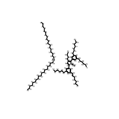 CCCCCCCCCCCCCCCCC[CH2][Ni][CH2]CCCCCCCCCCCCCCCCC.CCCCCCCc1cc(CCCCCC)cc(C2=CC(CCCC)=C(c3cc(CCCCCC)cc(CCCCCCC)c3)[N+]2=[N-])c1